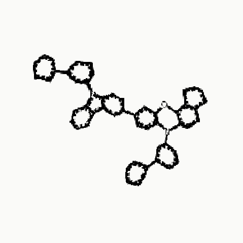 c1ccc(-c2cccc(N3c4ccc(-c5ccc6c(c5)c5ccccc5n6-c5cccc(-c6ccccc6)c5)cc4Oc4c3ccc3ccccc43)c2)cc1